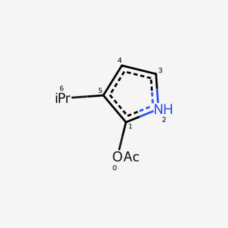 CC(=O)Oc1[nH]ccc1C(C)C